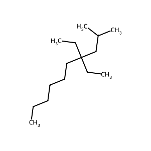 CCCCCCC(CC)(CC)C[C](C)C